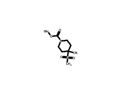 CC(C)(C)OC(=O)N1CCC(C#N)(S(C)(=O)=O)CC1